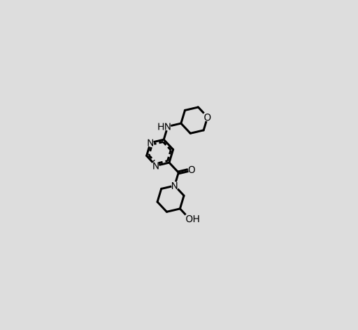 O=C(c1cc(NC2CCOCC2)ncn1)N1CCCC(O)C1